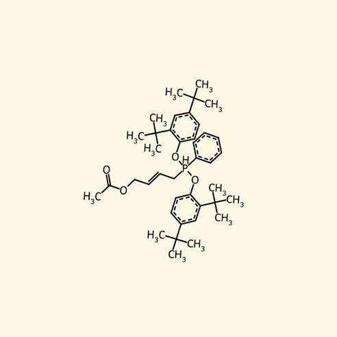 CC(=O)OC/C=C/C[PH](Oc1ccc(C(C)(C)C)cc1C(C)(C)C)(Oc1ccc(C(C)(C)C)cc1C(C)(C)C)c1ccccc1